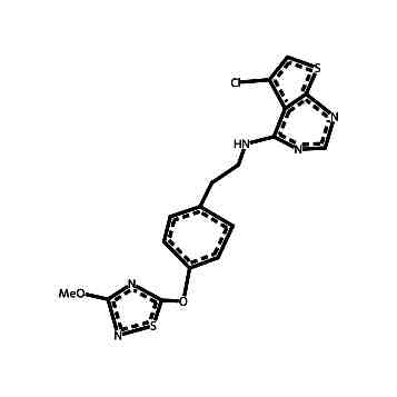 COc1nsc(Oc2ccc(CCNc3ncnc4scc(Cl)c34)cc2)n1